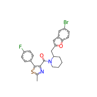 Cc1nc(C(=O)N2CCCCC2Cc2cc3cc(Br)ccc3o2)c(-c2ccc(F)cc2)s1